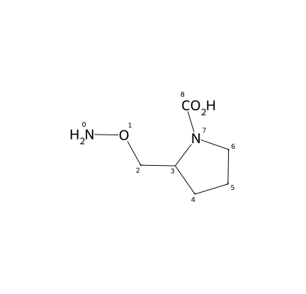 NOCC1CCCN1C(=O)O